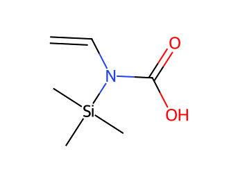 C=CN(C(=O)O)[Si](C)(C)C